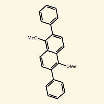 COc1c(-c2ccccc2)ccc2c(OC)c(-c3ccccc3)ccc12